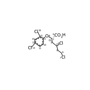 O=C(O)[C@H](CC(Cl)CCCl)Oc1ccc(Cl)cc1Cl